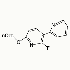 CCCCCCCCOc1ccc(-c2ccccn2)c(F)n1